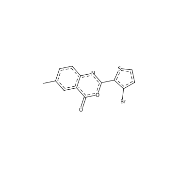 Cc1ccc2nc(-c3sccc3Br)oc(=O)c2c1